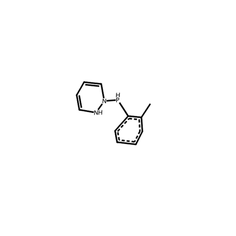 Cc1ccccc1PN1C=CC=CN1